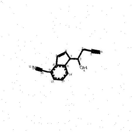 C#CCC(O)C1C=Cc2c(C#N)cccc21